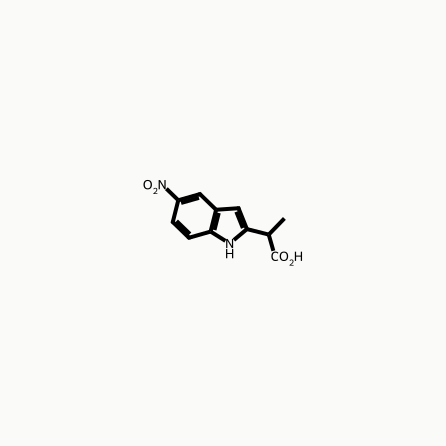 CC(C(=O)O)c1cc2cc([N+](=O)[O-])ccc2[nH]1